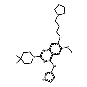 COc1cc2c(Nc3cc[nH]c3)nc(N3CCC(F)(F)CC3)nc2cc1OCCCN1CCCC1